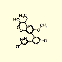 CCC(C(=O)O)n1cc(OC)c(-c2cc(Cl)ccc2-n2cc(Cl)nn2)cc1=O